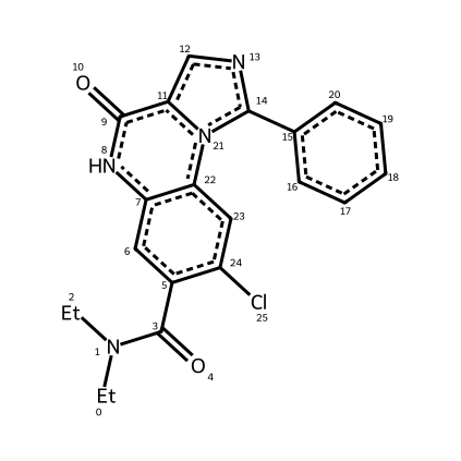 CCN(CC)C(=O)c1cc2[nH]c(=O)c3cnc(-c4ccccc4)n3c2cc1Cl